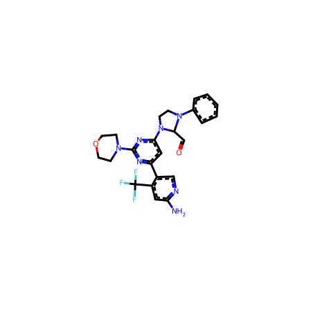 Nc1cc(C(F)(F)F)c(-c2cc(N3CCN(c4ccccc4)C3C=O)nc(N3CCOCC3)n2)cn1